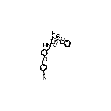 C[C@H](NS(=O)(=O)c1cc2ccccc2o1)C(=O)NCc1cccc(OCc2ccc(C#N)cc2)c1